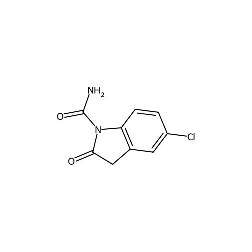 NC(=O)N1C(=O)Cc2cc(Cl)ccc21